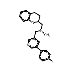 CN(Cc1cncc(-c2ccc(F)cc2)c1)CC1CCc2ccccc2O1